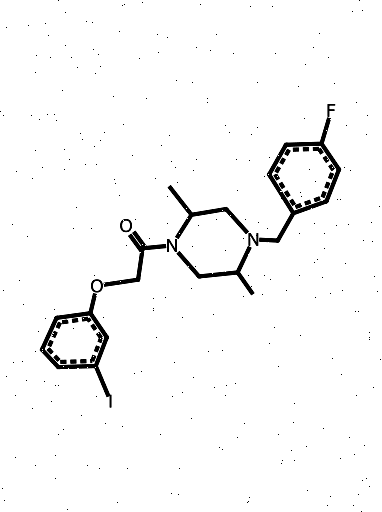 CC1CN(C(=O)COc2cccc(I)c2)C(C)CN1Cc1ccc(F)cc1